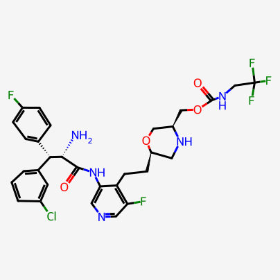 N[C@H](C(=O)Nc1cncc(F)c1CC[C@@H]1CN[C@H](COC(=O)NCC(F)(F)F)CO1)[C@@H](c1ccc(F)cc1)c1cccc(Cl)c1